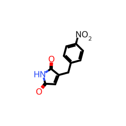 O=C1C=C(Cc2ccc([N+](=O)[O-])cc2)C(=O)N1